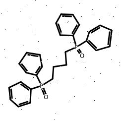 O=P(CCCCP(=O)(c1ccccc1)c1ccccc1)(c1ccccc1)c1ccccc1